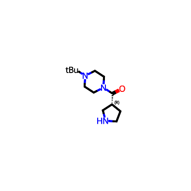 CC(C)(C)N1CCN(C(=O)[C@@H]2CCNC2)CC1